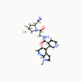 Cn1ccc2c(-c3cnccc3C(=O)NCC(=O)N3CC(F)(F)CC3C#N)ccnc21